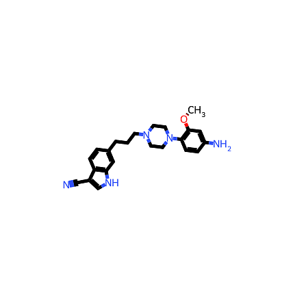 COc1cc(N)ccc1N1CCN(CCCc2ccc3c(C#N)c[nH]c3c2)CC1